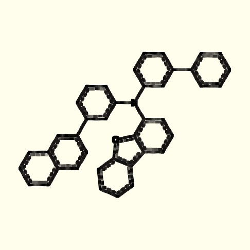 c1ccc(-c2cccc(N(c3cccc(-c4ccc5ccccc5c4)c3)c3cccc4c3oc3ccccc34)c2)cc1